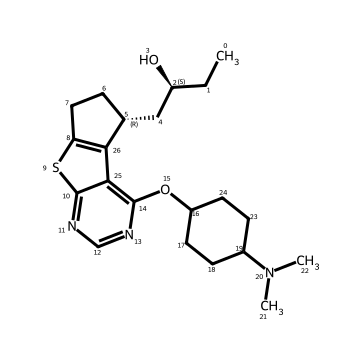 CC[C@H](O)C[C@H]1CCc2sc3ncnc(OC4CCC(N(C)C)CC4)c3c21